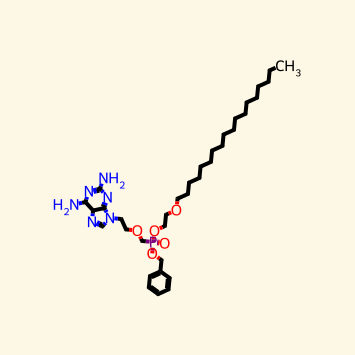 CCCCCCCCCCCCCCCCCCOCCOP(=O)(COCCN1C=NC2C1=NC(N)=NC2N)OCc1ccccc1